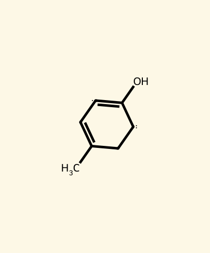 CC1=C[C]=C(O)[C]C1